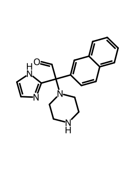 O=CC(c1ccc2ccccc2c1)(c1ncc[nH]1)N1CCNCC1